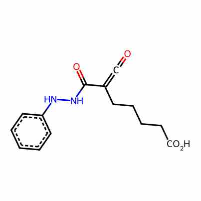 O=C=C(CCCCC(=O)O)C(=O)NNc1ccccc1